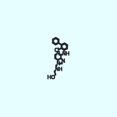 OCCNCN1C=NC2C(Nc3cccc(-c4ccccc4)c3Cl)=NC=CC21